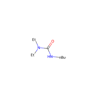 CCC[CH]NC(=O)N(CC)CC